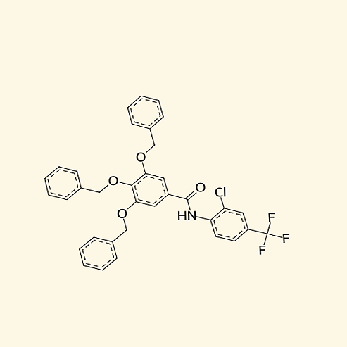 O=C(Nc1ccc(C(F)(F)F)cc1Cl)c1cc(OCc2ccccc2)c(OCc2ccccc2)c(OCc2ccccc2)c1